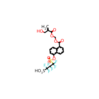 C=C(CO)C(=O)OCOC(=O)c1cccc2c(OS(=O)(=O)C(F)(F)C(F)(F)C(F)(F)S(=O)(=O)O)cccc12